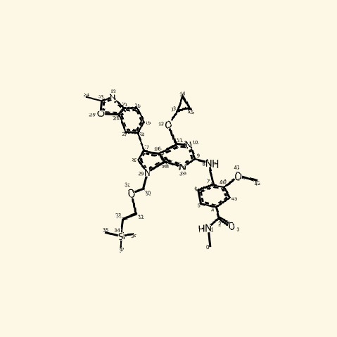 CNC(=O)c1ccc(Nc2nc(OC3CC3)c3c(-c4ccc5nc(C)oc5c4)cn(COCC[Si](C)(C)C)c3n2)c(OC)c1